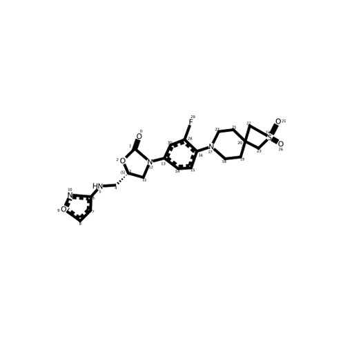 O=C1O[C@@H](CNc2ccon2)CN1c1ccc(N2CCC3(CC2)CS(=O)(=O)C3)c(F)c1